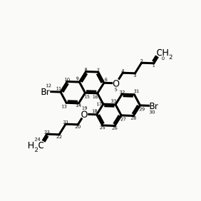 C=CCCCOc1ccc2cc(Br)ccc2c1-c1c(OCCCC=C)ccc2cc(Br)ccc12